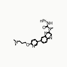 CCCNC(=O)N(C)c1cnc2ccc(-c3ccc(OCCCN(C)C)nc3)cc2n1